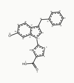 O=C(O)c1csc(-n2cc(Cc3ccccc3)c3ccc(Cl)cc32)n1